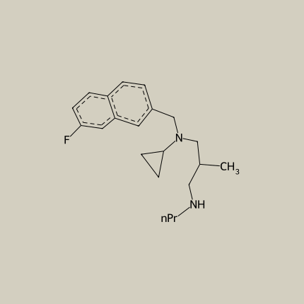 CCCNCC(C)CN(Cc1ccc2ccc(F)cc2c1)C1CC1